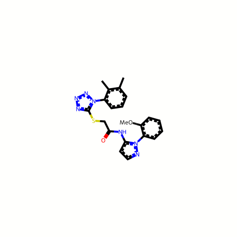 COc1ccccc1-n1nccc1NC(=O)CSc1nnnn1-c1cccc(C)c1C